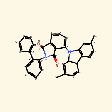 CC1=CC2C(C=C1)c1ccc(C)cc1N2c1cccc2c1C(=O)N(c1ccccc1-c1ccccc1)C2=O